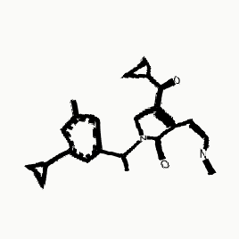 C=N/C=C\C1=C(C(=O)C2CC2)CN(C(C)c2cc(C)cc(C3CC3)c2)C1=O